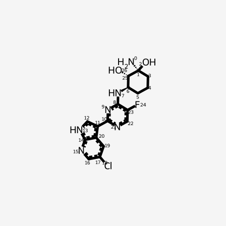 N[C@]1(O)CCC[C@@H](Nc2nc(-c3c[nH]c4ncc(Cl)cc34)ncc2F)[C@@H]1O